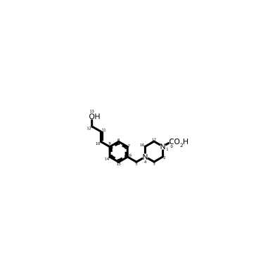 O=C(O)N1CCN(Cc2ccc(C=CCO)cc2)CC1